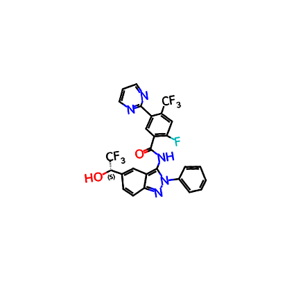 O=C(Nc1c2cc([C@H](O)C(F)(F)F)ccc2nn1-c1ccccc1)c1cc(-c2ncccn2)c(C(F)(F)F)cc1F